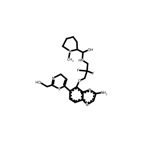 CN1CCCCC1C(O)NCC(F)(F)COc1c(C2=CCN=C(CO)S2)ccc2ncc(N)nc12